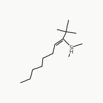 CCCCCC/C=C(\[SiH](C)C)C(C)(C)C